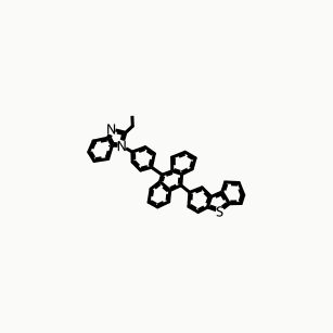 CCc1nc2ccccc2n1-c1ccc(-c2c3ccccc3c(-c3ccc4sc5ccccc5c4c3)c3ccccc23)cc1